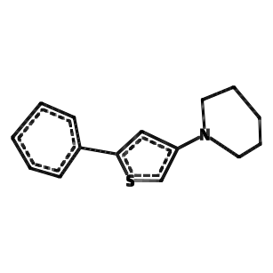 c1ccc(-c2cc(N3CCCCC3)cs2)cc1